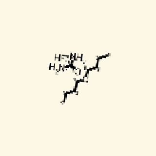 CCCCOCCCC.F.NC(N)=O